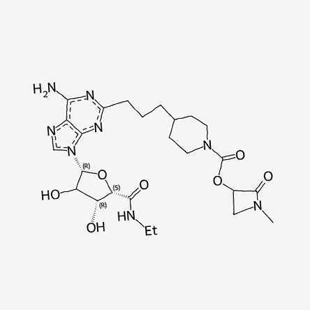 CCNC(=O)[C@H]1O[C@@H](n2cnc3c(N)nc(CCCC4CCN(C(=O)OC5CN(C)C5=O)CC4)nc32)C(O)[C@H]1O